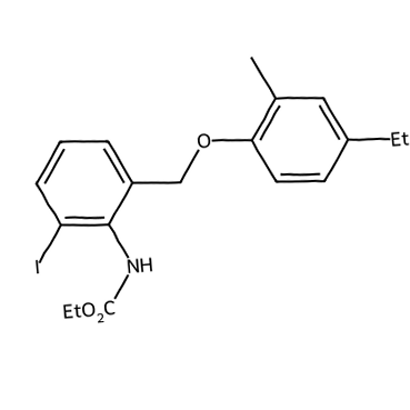 CCOC(=O)Nc1c(I)cccc1COc1ccc(CC)cc1C